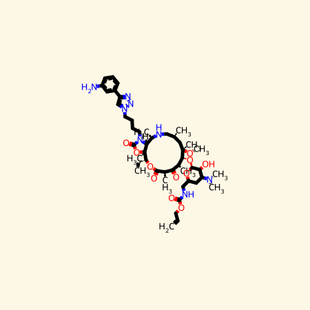 C=CCOC(=O)NCC1CC(N(C)C)C(O)[C@H](O[C@@H]2[C@@H](C)C(=O)[C@@H](C)C(=O)O[C@H](CC)[C@@]3(C)OC(=O)N(CCCCn4cc(-c5cccc(N)c5)nn4)[C@@H]3[C@@H](C)NC[C@H](C)C[C@@]2(C)OC)O1